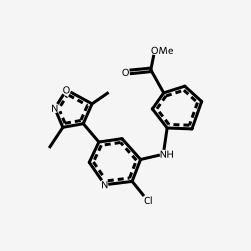 COC(=O)c1cccc(Nc2cc(-c3c(C)noc3C)cnc2Cl)c1